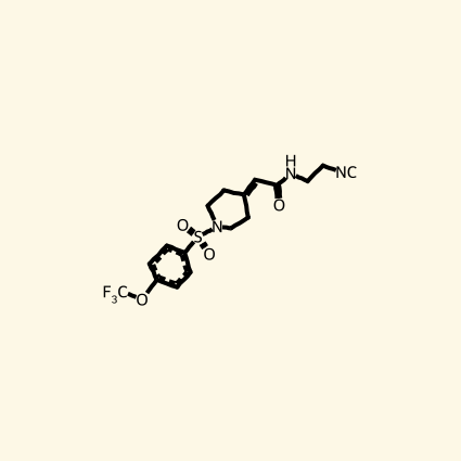 [C-]#[N+]CCNC(=O)C=C1CCN(S(=O)(=O)c2ccc(OC(F)(F)F)cc2)CC1